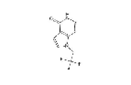 O=c1[nH]ccc2c1ccn2CC(F)(F)F